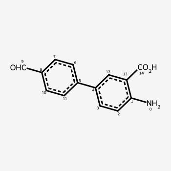 Nc1ccc(-c2ccc(C=O)cc2)cc1C(=O)O